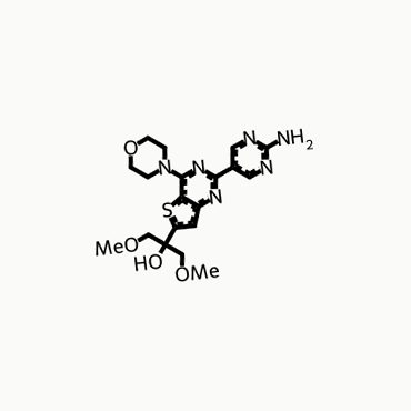 COCC(O)(COC)c1cc2nc(-c3cnc(N)nc3)nc(N3CCOCC3)c2s1